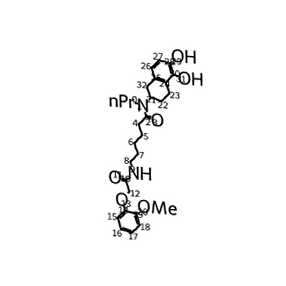 CCCN(C(=O)CCCCCNC(=O)COc1ccccc1OC)[C@H]1CCc2c(ccc(O)c2O)C1